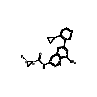 Nc1cc(-c2cnccc2C2CC2)cc2cc(NC(=O)[C@@H]3C[C@@H]3F)nnc12